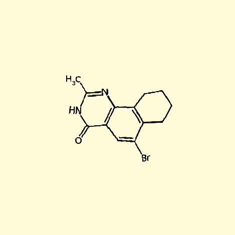 Cc1nc2c3c(c(Br)cc2c(=O)[nH]1)CCCC3